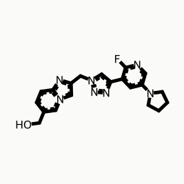 OCc1ccc2nc(Cn3cc(-c4cc(N5CCCC5)cnc4F)nn3)cn2c1